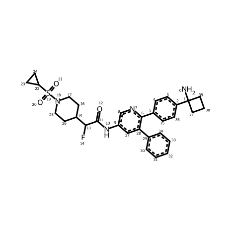 NC1(c2ccc(-c3ncc(NC(=O)C(F)C4CCN(S(=O)(=O)C5CC5)CC4)cc3-c3ccccc3)cc2)CCC1